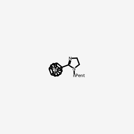 CCCCCN1CCN=C1[C]12[CH]3[CH]4[CH]5[CH]1[Fe]45321678[CH]2[CH]1[CH]6[CH]7[CH]28